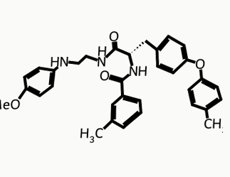 COc1ccc(NCCNC(=O)[C@H](Cc2ccc(Oc3ccc(C)cc3)cc2)NC(=O)c2cccc(C)c2)cc1